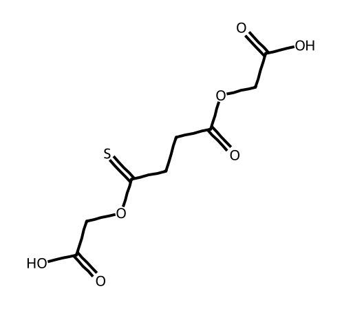 O=C(O)COC(=O)CCC(=S)OCC(=O)O